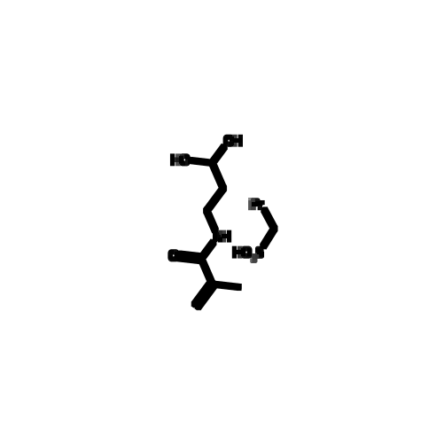 C=C(C)C(=O)NCCC(O)O.CC(C)CS(=O)(=O)O